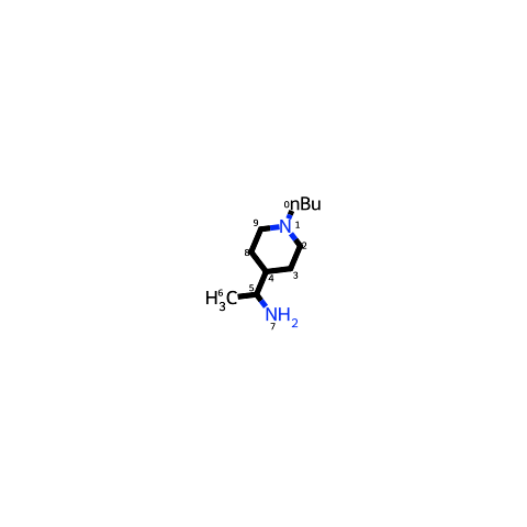 CCCCN1CCC(C(C)N)CC1